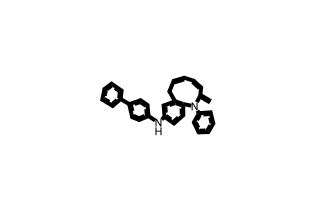 C=C1/C=C\C=C/Cc2cc(Nc3ccc(-c4ccccc4)cc3)ccc2N1c1ccccc1